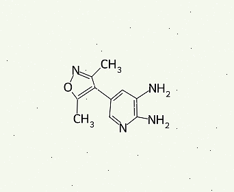 Cc1noc(C)c1-c1cnc(N)c(N)c1